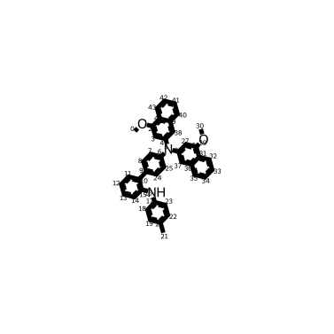 COc1cc(N(c2ccc(-c3ccccc3Nc3ccc(C)cc3)cc2)c2cc(OC)c3ccccc3c2)cc2ccccc12